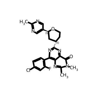 Cc1ncc([C@@H]2C[C@@H](c3nc(-c4ccc(Cl)cc4F)c4nc(C)n(C)c(=O)c4n3)CCO2)cn1